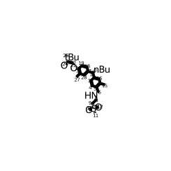 CCCCC(c1ccc(CNCCS(C)(=O)=O)c(C)c1)c1ccc(OCC(=O)C(C)(C)C)c(C)c1